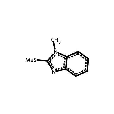 CSc1nc2ccccc2n1C